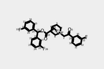 O=C(C[N+]12CCC(CC1)C(C(=O)OC(c1cccc(F)c1)c1cccc(F)c1)C2)c1cccc(F)c1